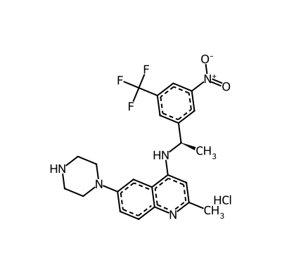 Cc1cc(N[C@H](C)c2cc([N+](=O)[O-])cc(C(F)(F)F)c2)c2cc(N3CCNCC3)ccc2n1.Cl